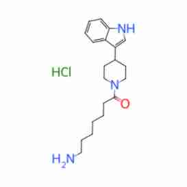 Cl.NCCCCCCC(=O)N1CCC(c2c[nH]c3ccccc23)CC1